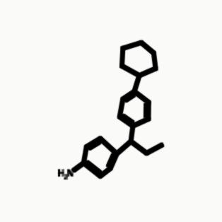 CCC(c1ccc(N)cc1)c1ccc(C2CCCCC2)cc1